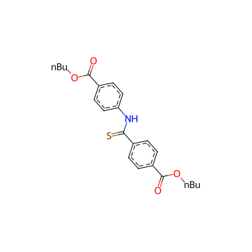 CCCCOC(=O)c1ccc(NC(=S)c2ccc(C(=O)OCCCC)cc2)cc1